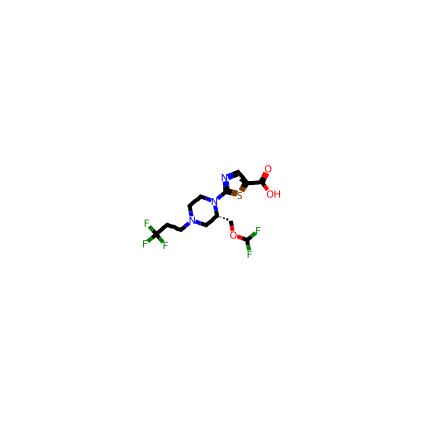 O=C(O)c1cnc(N2CCN(CCC(F)(F)F)C[C@H]2COC(F)F)s1